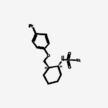 CCS(=O)(=O)N[C@@H]1CCCC[C@H]1COc1ccc(C(C)C)cc1